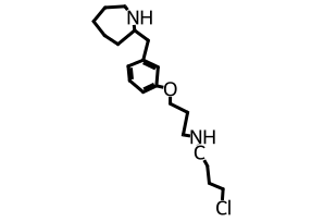 ClCCCCNCCCOc1cccc(CC2CCCCCN2)c1